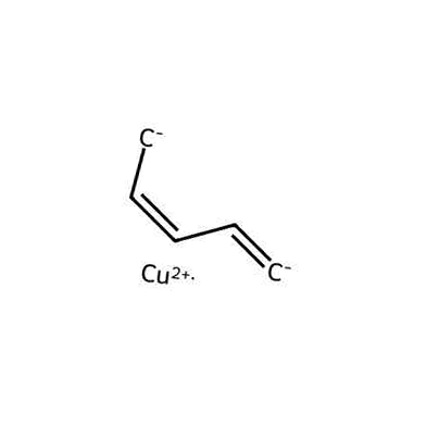 [CH-]=C/C=C\[CH2-].[Cu+2]